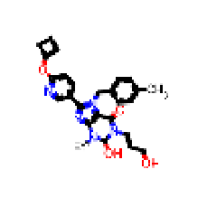 CCN1c2nc(-c3ccc(OC4CCC4)nc3)n(Cc3ccc(C)cc3)c2C(=O)N(CCCO)C1O